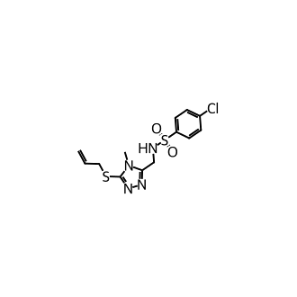 C=CCSc1nnc(CNS(=O)(=O)c2ccc(Cl)cc2)n1C